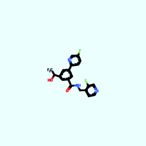 O=C(NCc1ccncc1F)c1cc(-c2ccc(F)cn2)cc(C(O)C(F)(F)F)c1